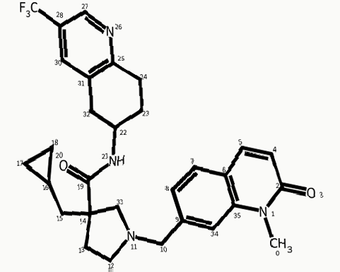 Cn1c(=O)ccc2ccc(CN3CCC(CC4CC4)(C(=O)NC4CCc5ncc(C(F)(F)F)cc5C4)C3)cc21